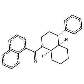 O=C(c1nccc2ccccc12)N1CC[C@H](c2ccccc2)[C@H]2CCCC[C@H]21